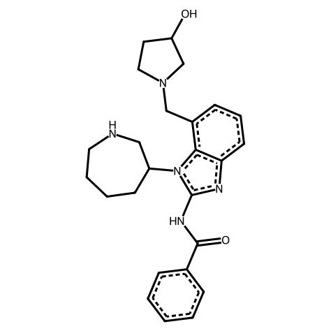 O=C(Nc1nc2cccc(CN3CCC(O)C3)c2n1C1CCCCNC1)c1ccccc1